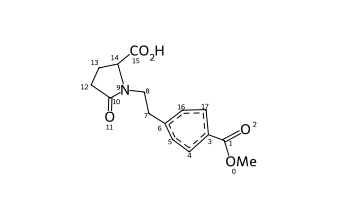 COC(=O)c1ccc(CCN2C(=O)CCC2C(=O)O)cc1